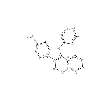 COc1ccc2c(c1)C(c1ccccc1)c1c-2ccc2ccccc12